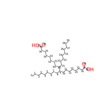 CCCCCCCCCC(CCCCCCCC(=O)O)C(CCCCCCCCC)CCCCCCCC(=O)O